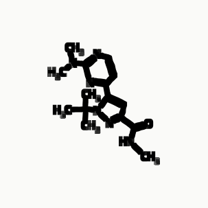 CNC(=O)c1cc(-c2ccnc(N(C)C)n2)n(C(C)(C)C)n1